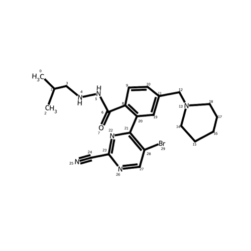 CC(C)CNNC(=O)c1ccc(CN2CCCCC2)cc1-c1nc(C#N)ncc1Br